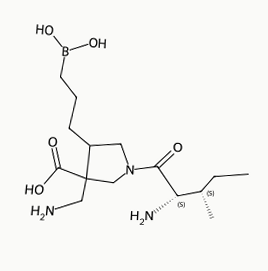 CC[C@H](C)[C@H](N)C(=O)N1CC(CCCB(O)O)C(CN)(C(=O)O)C1